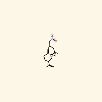 C=C(C)C1CCC2=CC(C[N+](=O)[O-])C[C@@H](C)[C@]2(C)C1